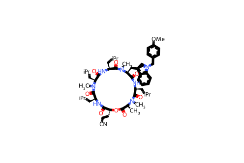 COc1ccc(Cn2cc(C[C@H]3C(=O)N[C@@H](CC(C)C)C(=O)N(C)[C@@H](C)C(=O)O[C@H](CCC#N)C(=O)N[C@@H](CC(C)C)C(=O)N(C)[C@@H](CC(C)C)C(=O)N[C@@H](CC(C)C)C(=O)N3C)c3ccccc32)cc1